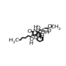 CCCCCC(O)[C@H]1C(=O)N[C@](C(=O)SCC(=O)OC)([C@@H](O)[C@@H]2C=CCCC2)[C@@]1(C)O